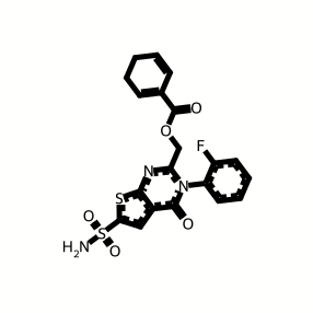 NS(=O)(=O)c1cc2c(=O)n(-c3ccccc3F)c(COC(=O)C3=CCCC=C3)nc2s1